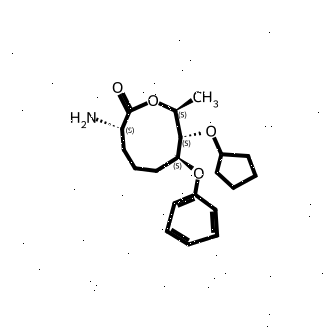 C[C@@H]1OC(=O)[C@@H](N)CCC[C@H](Oc2ccccc2)[C@H]1OC1CCCC1